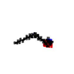 CCCCCCCCCCCC/C=C\CCCCCCCOP(=O)(O)C(CC)[N+](C)(C)C